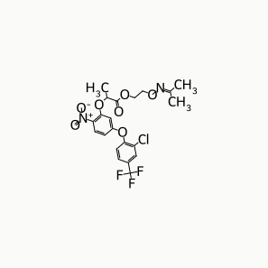 CC(C)=NOCCOC(=O)C(C)Oc1cc(Oc2ccc(C(F)(F)F)cc2Cl)ccc1[N+](=O)[O-]